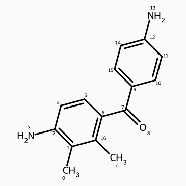 Cc1c(N)ccc(C(=O)c2ccc(N)cc2)c1C